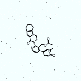 CC(=O)OCc1c(-c2ccc(=O)n(C)c2)ccnc1N1CCn2c(cc3c2CCCC3)C1=O